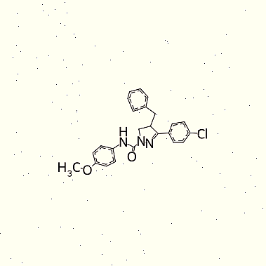 COc1ccc(NC(=O)N2CC(Cc3ccccc3)C(c3ccc(Cl)cc3)=N2)cc1